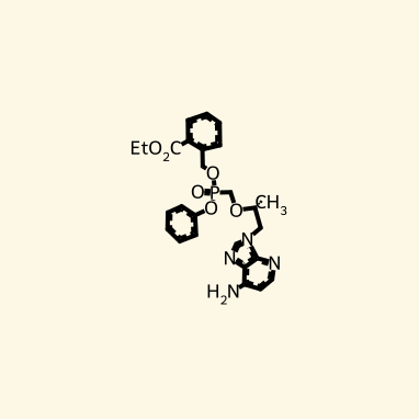 CCOC(=O)c1ccccc1COP(=O)(CO[C@H](C)Cn1cnc2c(N)ccnc21)Oc1ccccc1